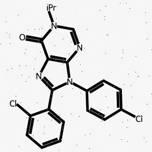 CC(C)n1cnc2c(nc(-c3ccccc3Cl)n2-c2ccc(Cl)cc2)c1=O